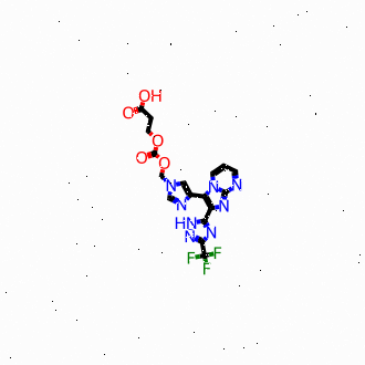 O=C(O)CCOC(=O)OCn1cnc(-c2c(-c3nc(C(F)(F)F)n[nH]3)nc3ncccn23)c1